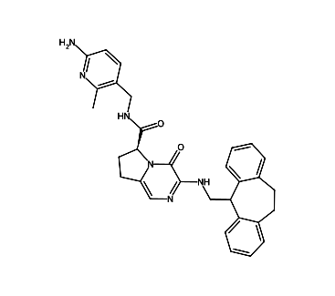 Cc1nc(N)ccc1CNC(=O)[C@@H]1CCc2cnc(NCC3c4ccccc4CCc4ccccc43)c(=O)n21